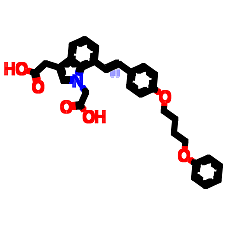 O=C(O)Cc1cn(CC(=O)O)c2c(/C=C/c3ccc(OCCCCOc4ccccc4)cc3)cccc12